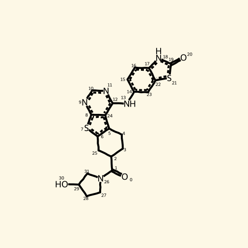 O=C(C1CCc2c(sc3ncnc(Nc4ccc5[nH]c(=O)sc5c4)c23)C1)N1CCC(O)C1